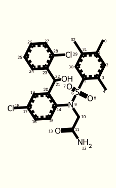 Cc1cc(C)c(S(=O)(=O)N(CC(N)=O)c2ccc(Cl)cc2C(O)c2ccccc2Cl)cc1C